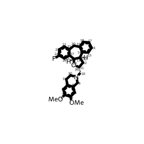 COc1cc2c(cc1OC)CN(C[C@H]1C[C@@H]3c4ccccc4Cc4ccc(F)cc4[C@@H]3O1)CC2